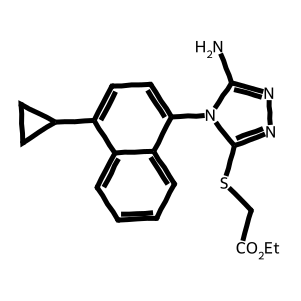 CCOC(=O)CSc1nnc(N)n1-c1ccc(C2CC2)c2ccccc12